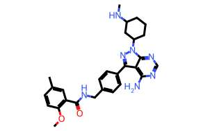 CNC1CCCC(n2nc(-c3ccc(CNC(=O)c4cc(C)ccc4OC)cc3)c3c(N)ncnc32)C1